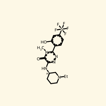 CCN1CCC[C@@H](Nc2nnc(-c3ccc(S(F)(F)(F)(F)F)cc3O)n(C)c2=O)C1